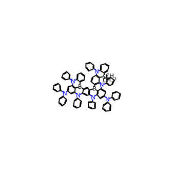 C[Si]1(C)c2ccccc2N(c2ccccc2)c2ccc3c(c21)N(c1ccccc1)c1cc(N(c2ccccc2)c2ccccc2)cc2c1B3c1cc3c(cc1N2c1ccccc1)N(c1ccccc1)c1cc(N(c2ccccc2)c2ccccc2)cc2c1B3c1ccccc1N2c1ccccc1